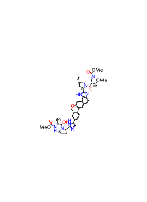 C=C[C@H]1C[C@H](c2nc3ccc4cc5c(cc4c3[nH]2)OCc2cc(-c3cnc(C4CC[C@H](C)N4C(O)[C@@H](NC(=O)OC)C(C)C)[nH]3)ccc2-5)N(C(=O)C(/C=N/C(=O)OC)[C@H](C)OC)C1